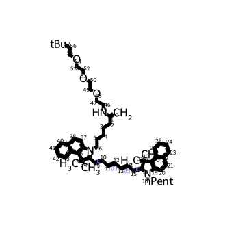 C=C(CCCCC[N+]1=C(/C=C/C=C/C=C/C=C2/N(CCCCC)c3ccc4ccccc4c3C2(C)C)C(C)(C)c2c1ccc1ccccc21)NCCOCCOCCOCCC(C)(C)C